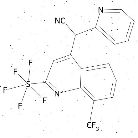 N#CC(c1ccccn1)c1cc(S(F)(F)(F)(F)F)nc2c(C(F)(F)F)cccc12